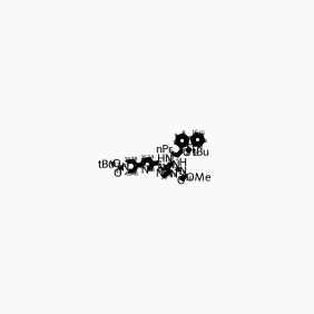 CCC[C@@H](CCO[Si](c1ccccc1)(c1ccccc1)C(C)(C)C)Nc1nc(NC(=O)OC)nc2cnn(Cc3ccc(C4CCN(C(=O)OC(C)(C)C)CC4)nc3)c12